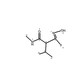 CNC(=O)C(/C(F)=N/O)C(C)C